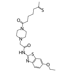 CCOc1ccc2nc(NC(=O)CN3CCN(C(=O)CCCCC(C)=S)CC3)sc2c1